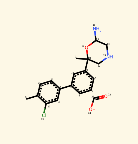 Cc1ccc(-c2cccc(C3(C)CNCC(N)O3)c2)cc1Cl.O=CO